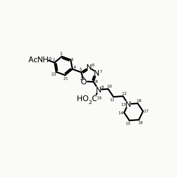 CC(=O)Nc1ccc(-c2nnc(N(CCCN3CCCCC3)C(=O)O)o2)cc1